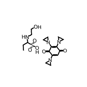 CCC(NCCO)S(=O)(=O)O.O=C1C=C(N2CC2)C(=O)C(N2CC2)=C1N1CC1